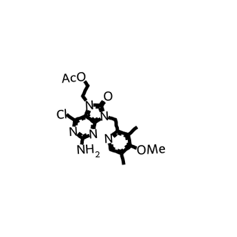 COc1c(C)cnc(Cn2c(=O)n(CCOC(C)=O)c3c(Cl)nc(N)nc32)c1C